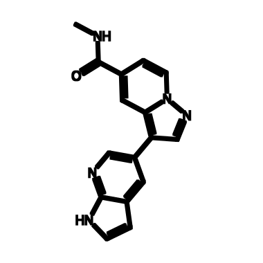 CNC(=O)c1ccn2ncc(-c3cnc4[nH]ccc4c3)c2c1